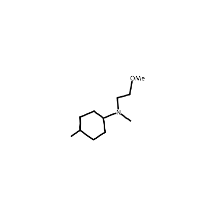 COCCN(C)C1CCC(C)CC1